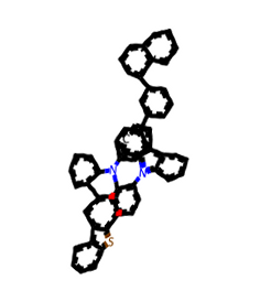 c1cc(-c2ccc(N(c3ccccc3-c3ccc4sc5ccccc5c4c3)c3ccccc3-n3c4ccccc4c4ccccc43)cc2)cc(-c2cccc3ccccc23)c1